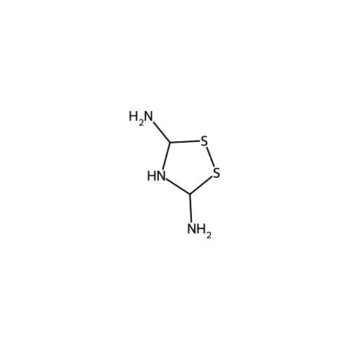 NC1NC(N)SS1